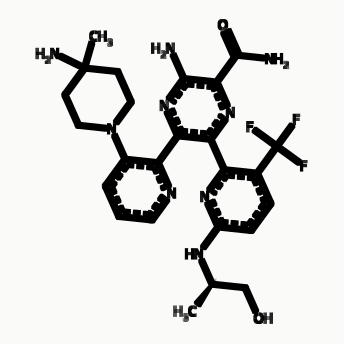 C[C@H](CO)Nc1ccc(C(F)(F)F)c(-c2nc(C(N)=O)c(N)nc2-c2ncccc2N2CCC(C)(N)CC2)n1